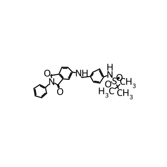 CC(C)(C)S(=O)(=O)Nc1ccc(CNc2ccc3c(c2)C(=O)N(c2ccccc2)C3=O)cc1